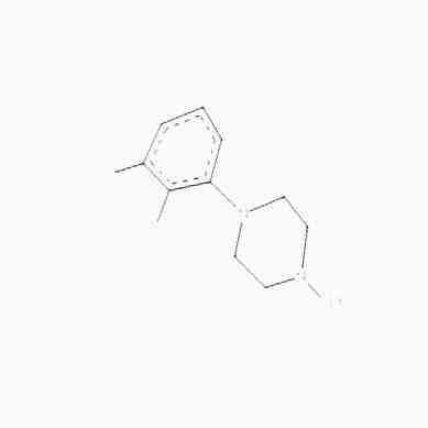 CCCN1CCN(c2cccc(C(F)(F)F)c2C)CC1